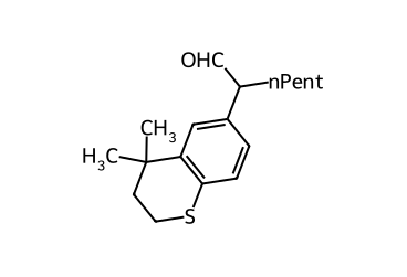 CCCCCC(C=O)c1ccc2c(c1)C(C)(C)CCS2